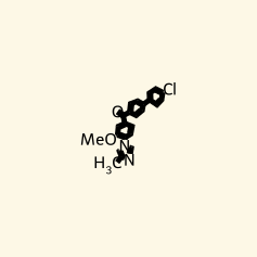 COc1cc(C(=O)c2ccc(-c3ccc(Cl)cc3)cc2)ccc1-n1cnc(C)c1